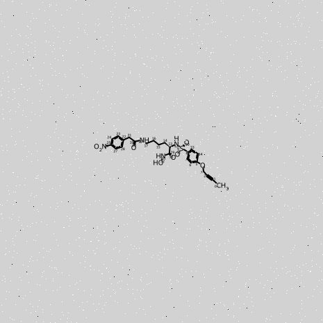 CC#CCOc1ccc(S(=O)(=O)N[C@H](CCCCNC(=O)Cc2ccc([N+](=O)[O-])cc2)C(=O)NO)cc1